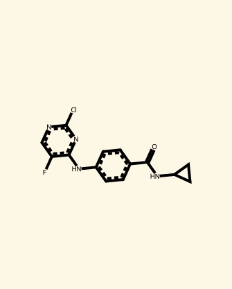 O=C(NC1CC1)c1ccc(Nc2nc(Cl)ncc2F)cc1